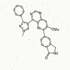 COc1cc2ncnc(-c3cn(C)nc3-c3ccccc3)c2nc1-c1ccc2c(c1)CNC2=O